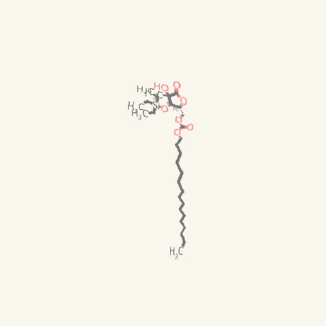 CCCCCCCCCCCCCCCCOC(=O)OC[C@H]1OC(=O)[C@@](C)(O)[C@@H]1O[Si](CC)(CC)CC